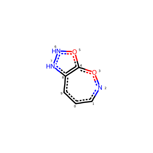 c1cnoc2o[nH][nH]c=2c1